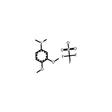 COc1ccc([S+](C)C)cc1OC.O=S(=O)([O-])C(F)(F)F